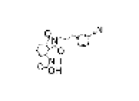 N#Cc1cccc(CCCN2C(=O)C3CC=CC(NC(=O)O)C3C2=O)c1